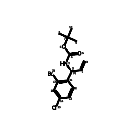 C=C[C@H](NC(=O)OC(C)(C)C)c1ccc(Cl)cc1Br